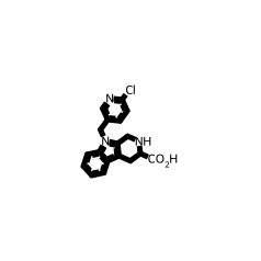 O=C(O)C1Cc2c(n(Cc3ccc(Cl)nc3)c3ccccc23)CN1